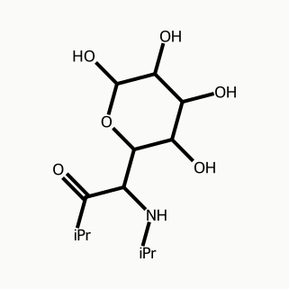 CC(C)NC(C(=O)C(C)C)C1OC(O)C(O)C(O)C1O